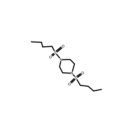 CCCCS(=O)(=O)N1CCN(S(=O)(=O)CCCC)CC1